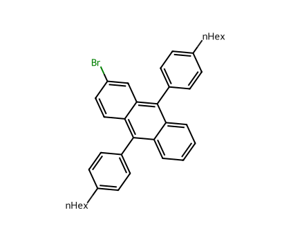 CCCCCCc1ccc(-c2c3ccccc3c(-c3ccc(CCCCCC)cc3)c3cc(Br)ccc23)cc1